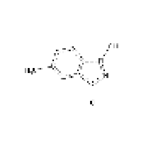 Cc1ccc2c(c1)c(Cl)nn2C